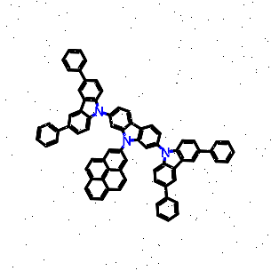 c1ccc(-c2ccc3c(c2)c2cc(-c4ccccc4)ccc2n3-c2ccc3c4ccc(-n5c6ccc(-c7ccccc7)cc6c6cc(-c7ccccc7)ccc65)cc4n(-c4cc5ccc6cccc7ccc(c4)c5c67)c3c2)cc1